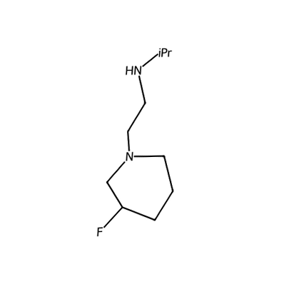 CC(C)NCCN1CCCC(F)C1